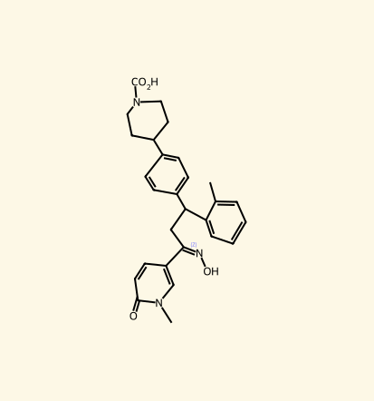 Cc1ccccc1C(C/C(=N/O)c1ccc(=O)n(C)c1)c1ccc(C2CCN(C(=O)O)CC2)cc1